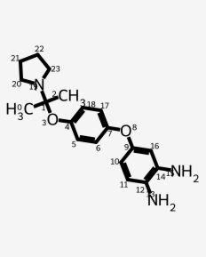 CC(C)(Oc1ccc(Oc2ccc(N)c(N)c2)cc1)N1CCCC1